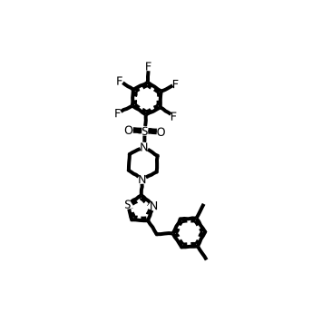 Cc1cc(C)cc(Cc2csc(N3CCN(S(=O)(=O)c4c(F)c(F)c(F)c(F)c4F)CC3)n2)c1